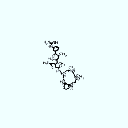 C[C@@H]1CN[C@@H](CCNC(=O)CC(CC(N)=O)[C@@H](C)[C@@H](C)C[C@H](C)C(=O)c2cccc(NC(=N)N)c2)CN[C@@H]2CCCC[C@H]2NCCN[C@@H](C)CN1